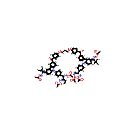 CCC(=NOC(C)=O)C(=NOC(C)=O)c1ccc(-n2c3ccc(C(=O)c4ccc(OCCCOc5ccc(C(=O)c6ccc7c(c6)c6cc(C(=NOC(C)=O)C(C)(C)C)ccc6n7-c6ccc(C(C=NOC(C)=O)=NOC(C)=O)cc6)cc5)cc4)cc3c3cc(C(=NOC(C)=O)C(C)C)ccc32)cc1